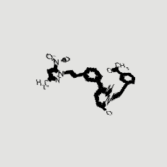 CC(=O)c1cccc(Cn2nc(-c3cccc(CCn4nc(C)cc4[N+](=O)[O-])c3)ccc2=O)c1